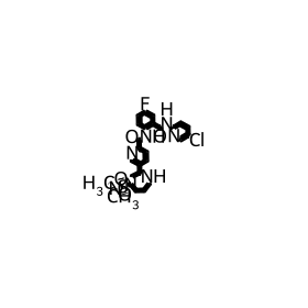 CN(C)S(=O)(=O)N1CCCNC(c2ccc(C(=O)Nc3ccc(F)cc3C(=O)Nc3ccc(Cl)cn3)nc2)C1